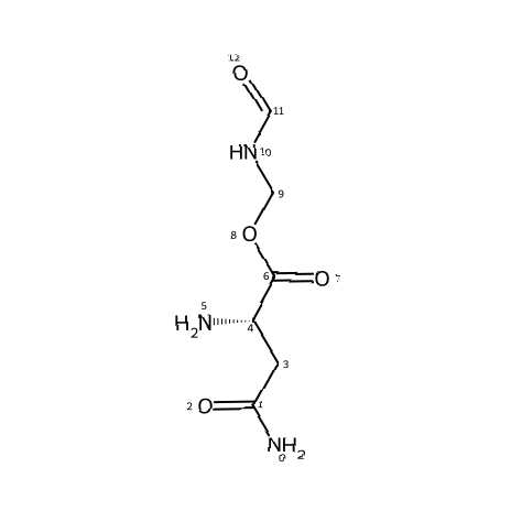 NC(=O)C[C@H](N)C(=O)OCNC=O